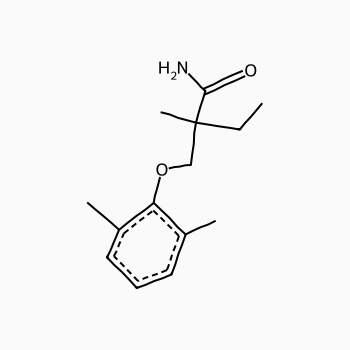 CCC(C)(COc1c(C)cccc1C)C(N)=O